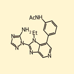 CCn1c(-n2ncnc2N)nc2cncc(-c3cccc(NC(C)=O)c3)c21